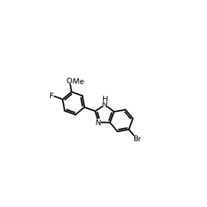 COc1cc(-c2nc3cc(Br)ccc3[nH]2)ccc1F